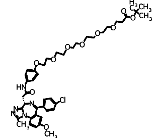 COc1ccc2c(c1)C(c1ccc(Cl)cc1)=N[C@@H](CC(=O)Nc1ccc(OCCOCCOCCOCCOCCOCCC(=O)OC(C)(C)C)cc1)c1nnc(C)n1-2